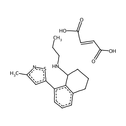 CCCNC1CCCc2cccc(-c3cc(C)ns3)c21.O=C(O)C=CC(=O)O